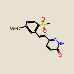 COc1ccc(S(C)(=O)=O)c(/C=C/c2ccc(=O)[nH]n2)c1